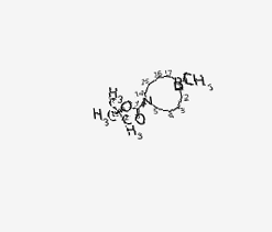 CB1CCCCN(C(=O)OC(C)(C)C)CCCC1